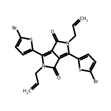 C=CCN1C(=O)C2=C(c3ccc(Br)s3)N(CC=C)C(=O)C2=C1c1ccc(Br)s1